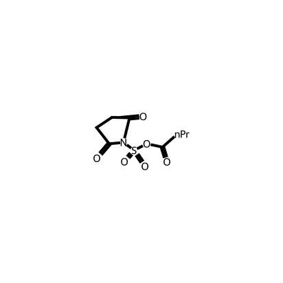 CCCC(=O)OS(=O)(=O)N1C(=O)CCC1=O